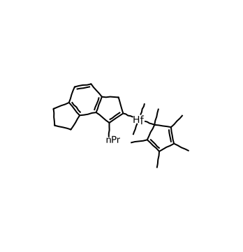 CCCC1=[C]([Hf]([CH3])([CH3])[C]2(C)C(C)=C(C)C(C)=C2C)Cc2ccc3c(c21)CCC3